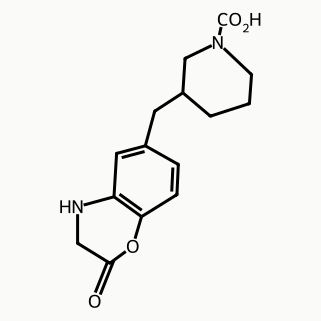 O=C1CNc2cc(CC3CCCN(C(=O)O)C3)ccc2O1